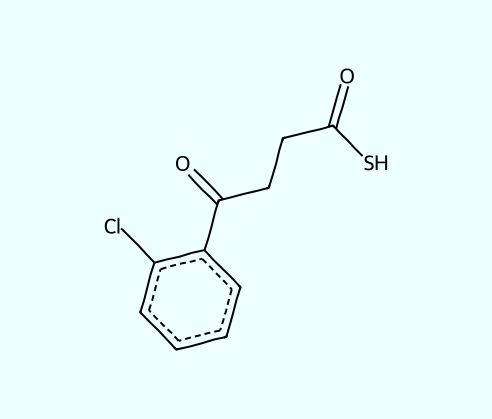 O=C(S)CCC(=O)c1ccccc1Cl